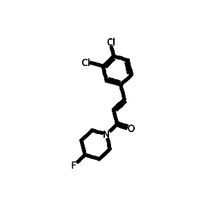 O=C(C=Cc1ccc(Cl)c(Cl)c1)N1CCC(F)CC1